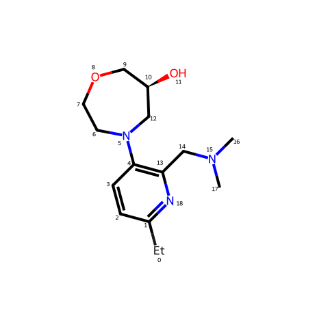 CCc1ccc(N2CCOC[C@@H](O)C2)c(CN(C)C)n1